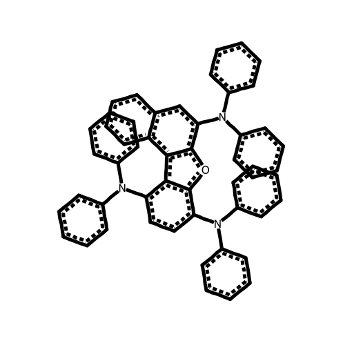 c1ccc(N(c2ccccc2)c2ccc(N(c3ccccc3)c3ccccc3)c3c2oc2c(N(c4ccccc4)c4ccccc4)cc4ccccc4c23)cc1